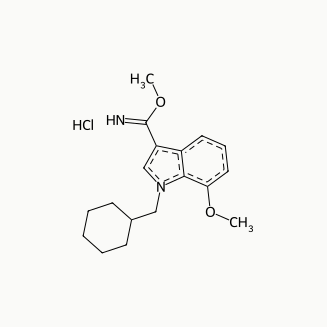 COC(=N)c1cn(CC2CCCCC2)c2c(OC)cccc12.Cl